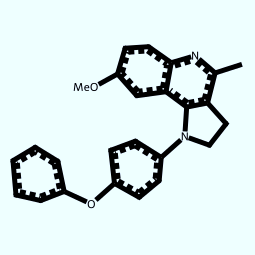 COc1ccc2nc(C)c3c(c2c1)N(c1ccc(Oc2ccccc2)cc1)CC3